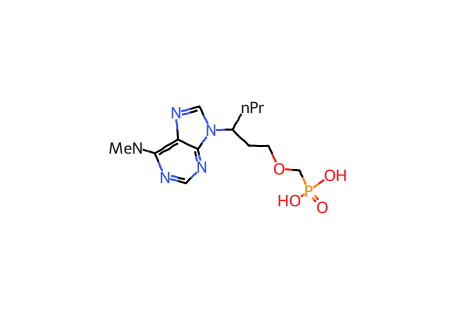 CCCC(CCOCP(=O)(O)O)n1cnc2c(NC)ncnc21